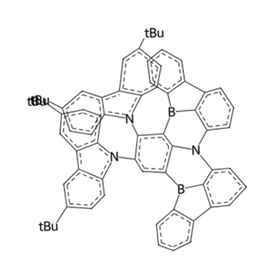 CC(C)(C)c1ccc2c(c1)c1cc(C(C)(C)C)ccc1n2-c1cc2c3c(c1-n1c4ccc(C(C)(C)C)cc4c4cc(C(C)(C)C)ccc41)B1c4ccccc4-c4cccc(c41)N3c1cccc3c1B2c1ccccc1-3